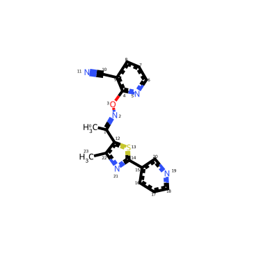 C/C(=N\Oc1ncccc1C#N)c1sc(-c2cccnc2)nc1C